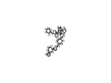 COC(=O)[C@@]1(NC(=O)OCc2ccccc2)CC[C@@H](c2ccc(CCOc3cccc(OC)c3)cc2)C1